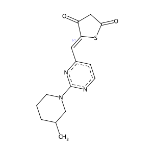 CC1CCCN(c2nccc(/C=C3\SC(=O)CC3=O)n2)C1